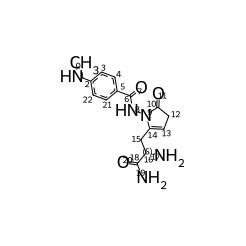 CNc1ccc(C(=O)NN2C(=O)CC=C2C[C@H](N)C(N)=O)cc1